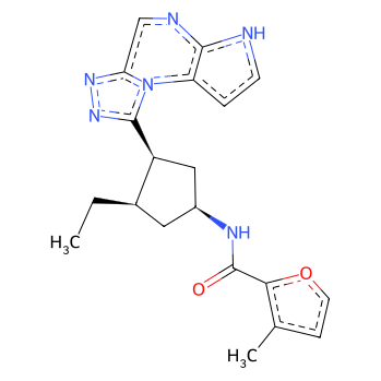 CC[C@@H]1C[C@H](NC(=O)c2occc2C)C[C@@H]1c1nnc2cnc3[nH]ccc3n12